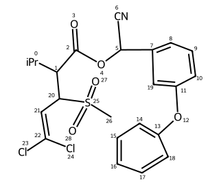 CC(C)C(C(=O)OC(C#N)c1cccc(Oc2ccccc2)c1)C(C=C(Cl)Cl)S(C)(=O)=O